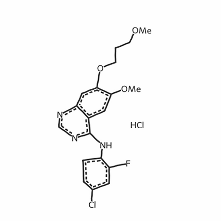 COCCCOc1cc2ncnc(Nc3ccc(Cl)cc3F)c2cc1OC.Cl